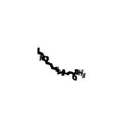 BC(=O)CCC(C)(C)SSCCCO/N=C/CC